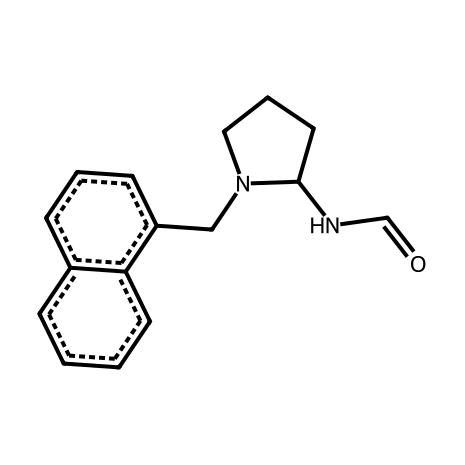 O=CNC1CCCN1Cc1cccc2ccccc12